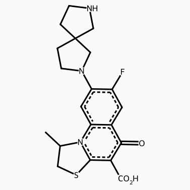 CC1CSc2c(C(=O)O)c(=O)c3cc(F)c(N4CCC5(CCNC5)C4)cc3n21